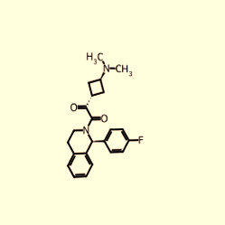 CN(C)[C@H]1C[C@H](C(=O)C(=O)N2CCc3ccccc3[C@@H]2c2ccc(F)cc2)C1